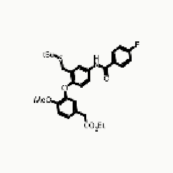 CCOC(=O)Cc1ccc(OC)c(Oc2ccc(NC(=O)c3ccc(F)cc3)cc2CSC(C)(C)C)c1